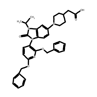 CC(C)n1c(=O)n(-c2ccc(OCc3ccccc3)nc2OCc2ccccc2)c2ccc(N3CCC(CC(=O)O)CC3)cc21